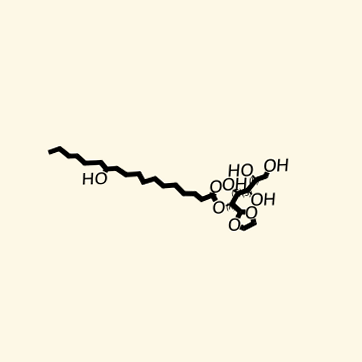 CCCCCCC(O)CCCCCCCCCCC(=O)O[C@@H](C1OCCO1)[C@@H](O)[C@@H](O)[C@H](O)CO